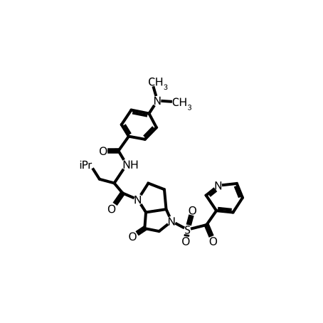 CC(C)CC(NC(=O)c1ccc(N(C)C)cc1)C(=O)N1CCC2C1C(=O)CN2S(=O)(=O)C(=O)c1cccnc1